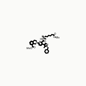 COC(=O)c1cccc2c1CN(c1ccc(-c3cnn(CC4CCCCC4)c3C)c(C(=O)NS(=O)(=O)CCCCCC(=O)OC(C)(C)C)n1)CC2